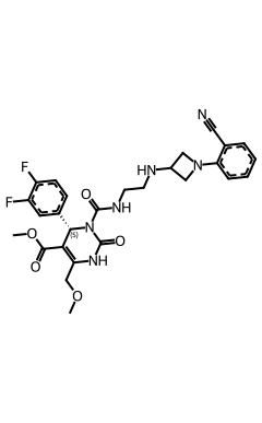 COCC1=C(C(=O)OC)[C@H](c2ccc(F)c(F)c2)N(C(=O)NCCNC2CN(c3ccccc3C#N)C2)C(=O)N1